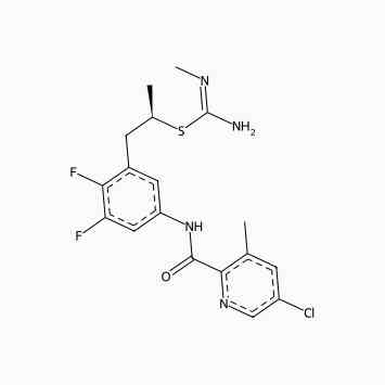 C/N=C(/N)S[C@H](C)Cc1cc(NC(=O)c2ncc(Cl)cc2C)cc(F)c1F